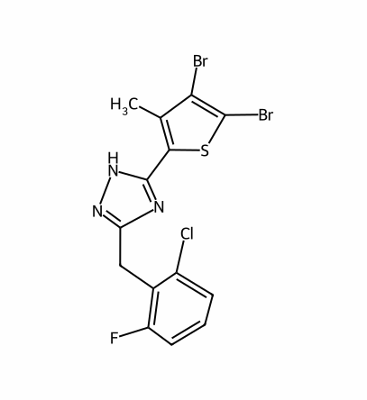 Cc1c(-c2nc(Cc3c(F)cccc3Cl)n[nH]2)sc(Br)c1Br